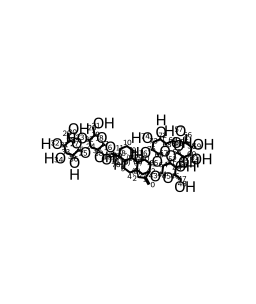 C=C1C[C@@]23CC[C@H]4[C@@](C)(CCC[C@@]4(C)C(=O)OC4OC(CO)C(O)C(OC5OC(CO)C(O)C(O)C5O)C4O)[C@@H]2CCC1(OC1OC(CO)C(O)C(OC2OC(CO)C(O)C(O)C2O)C1OC1OC(CO)C(O)C(O)C1O)C3